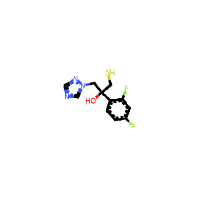 OC(CS)(Cn1cncn1)c1ccc(F)cc1F